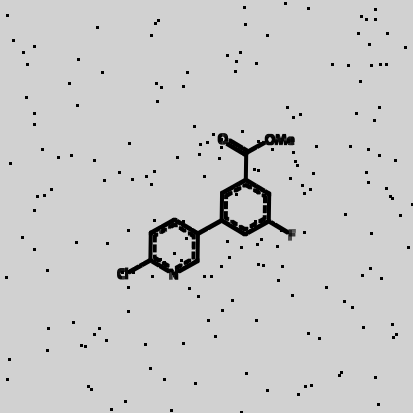 COC(=O)c1cc(F)cc(-c2ccc(Cl)nc2)c1